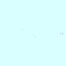 CC1(C)C(C(=O)O)c2ccccc2C(=O)N1Cc1cccc(Cl)c1